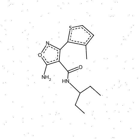 CCC(CC)NC(=O)c1c(-c2sccc2C)noc1N